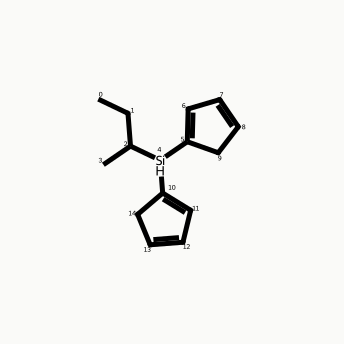 CCC(C)[SiH](C1=CC=CC1)C1=CC=CC1